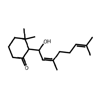 CC(C)=CCCC(C)=CC(O)C1C(=O)CCCC1(C)C